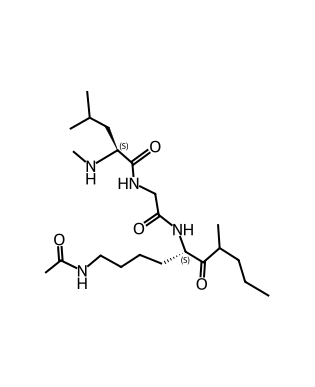 CCCC(C)C(=O)[C@H](CCCCNC(C)=O)NC(=O)CNC(=O)[C@H](CC(C)C)NC